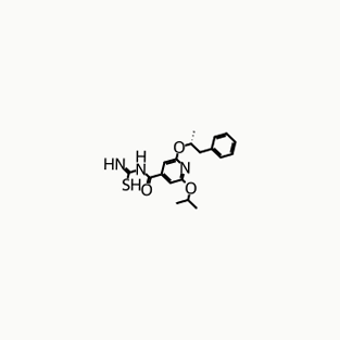 CC(C)Oc1cc(C(=O)NC(=N)S)cc(O[C@H](C)Cc2ccccc2)n1